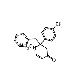 O=C1C=CN(C(=O)O)C(Cc2ccccc2)(c2ccc(C(F)(F)F)cc2)C1